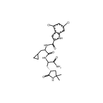 CC1(C)C[C@@H](CC(NC(=O)C(CC2CC2)NC(=O)c2cc3c(Cl)cc(Cl)cc3[nH]2)C(N)=O)C(=O)N1